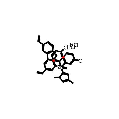 C=Cc1ccc2c(c1)-c1cc(C=C)c[c]([Zr](=[CH2])([C]3=CC(C)=CC3C)([c]3cccc(Cl)c3)[c]3cccc(Cl)c3)c1C2.Cl.Cl